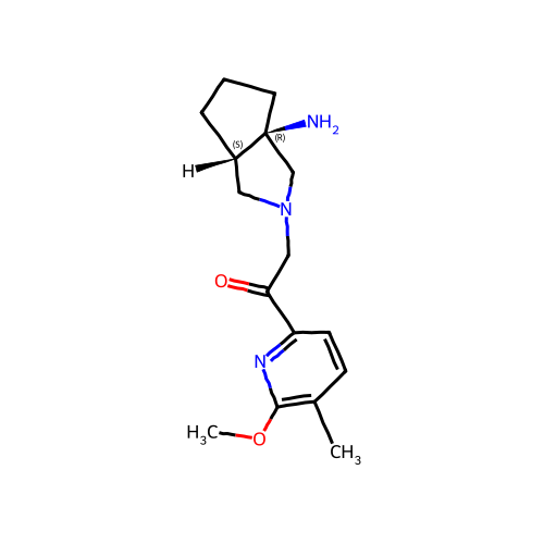 COc1nc(C(=O)CN2C[C@@H]3CCC[C@]3(N)C2)ccc1C